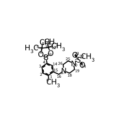 Cc1ccc(B2OC(C)(C)C(C)(C)O2)cc1CN1CCN(S(C)(=O)=O)CC1